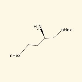 CCCCCCCC[C@@H](N)CCCCCCC